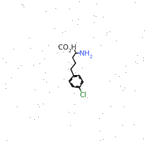 N[C@@H](CCCc1ccc(Cl)cc1)C(=O)O